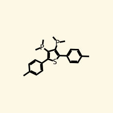 Cc1ccc(-c2sc(-c3ccc(C)cc3)c(P(C)C)c2P(C)C)cc1